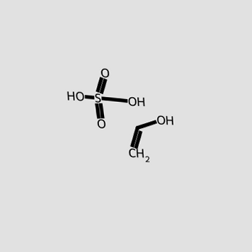 C=CO.O=S(=O)(O)O